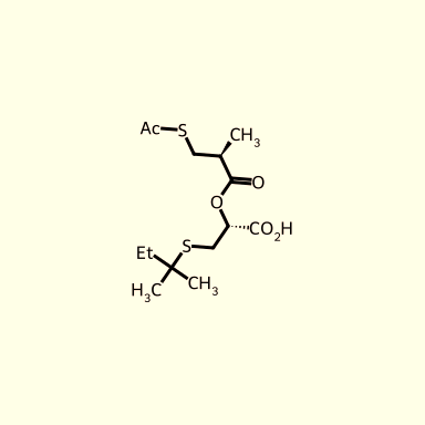 CCC(C)(C)SC[C@H](OC(=O)[C@H](C)CSC(C)=O)C(=O)O